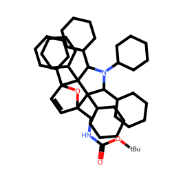 CC(C)(C)OC(=O)NCC12C=CC(C3CCCCC3)(O1)C1(C3CCCCC3)C(C3CCCCC3)N(C3CCCCC3)C(C3CCCCC3)C21C1CCCCC1